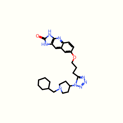 O=c1[nH]c2cc3cc(OCCCc4nnnn4C4CCN(CC5CCCCC5)CC4)ccc3nc2[nH]1